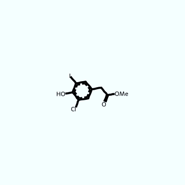 COC(=O)Cc1cc(Cl)c(O)c(I)c1